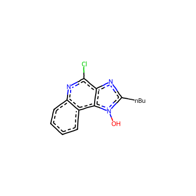 CCCCc1nc2c(Cl)nc3ccccc3c2n1O